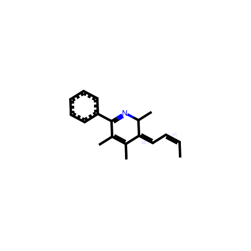 C/C=C\C=C1\C(C)=C(C)C(c2ccccc2)=NC1C